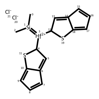 C[Si](C)=[Hf+2]([CH]1C=C2C=CC=C2S1)[CH]1C=C2C=CC=C2S1.[Cl-].[Cl-]